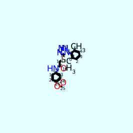 Cc1cccc(C)c1-n1nnnc1SCC(=O)Nc1ccc2c(c1)OCO2